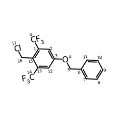 FC(F)(F)c1cc(OCc2ccccc2)cc(C(F)(F)F)c1CCl